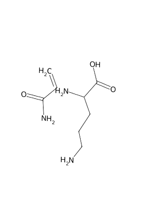 C=CC(N)=O.NCCCC(N)C(=O)O